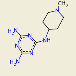 CN1CCC(Nc2nc(N)nc(N)n2)CC1